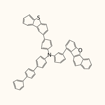 c1ccc(-c2ccc(-c3ccc(N(c4ccc(-c5ccc6sc7ccccc7c6c5)cc4)c4cccc(-c5cccc6oc7c8ccccc8ccc7c56)c4)cc3)cc2)cc1